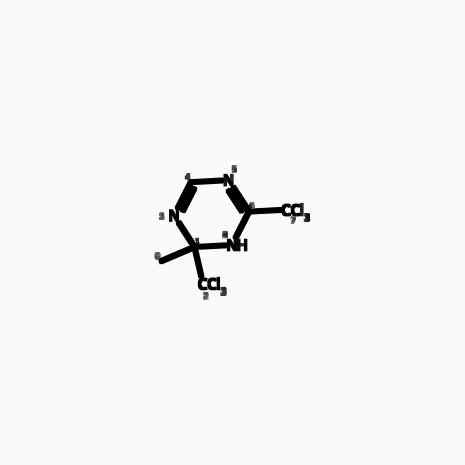 CC1(C(Cl)(Cl)Cl)N=CN=C(C(Cl)(Cl)Cl)N1